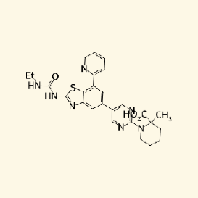 CCNC(=O)Nc1nc2cc(-c3cnc(N4CCCCC4(C)C(=O)O)nc3)cc(-c3ccccn3)c2s1